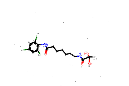 O=C(CCCCCCNC(=O)C(O)(O)C(F)(F)F)Nc1c(F)cc(F)cc1F